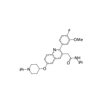 COc1cc(-c2nc3ccc(OC4CCN(C(C)C)CC4)cc3cc2CC(=O)NC(C)C)ccc1F